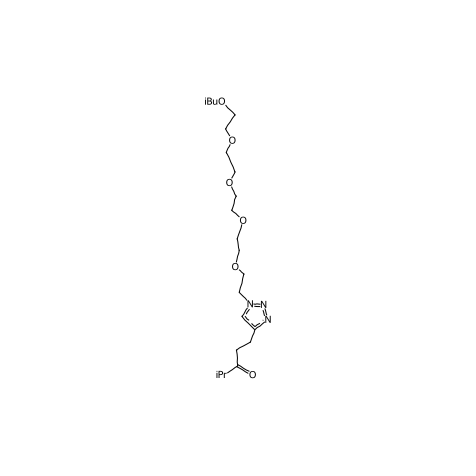 CC(C)COCCOCCOCCOCCOCCn1cc(CCC(=O)C(C)C)nn1